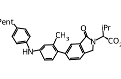 CCCCCc1ccc(Nc2ccc(-c3ccc4c(c3)C(=O)N([C@H](C(=O)O)C(C)C)C4)c(C)c2)cc1